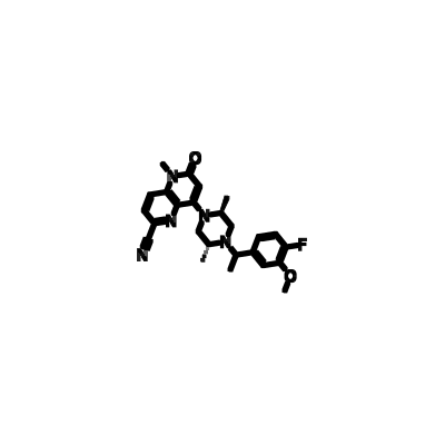 COc1cc(C(C)N2C[C@H](C)N(c3cc(=O)n(C)c4ccc(C#N)nc34)C[C@H]2C)ccc1F